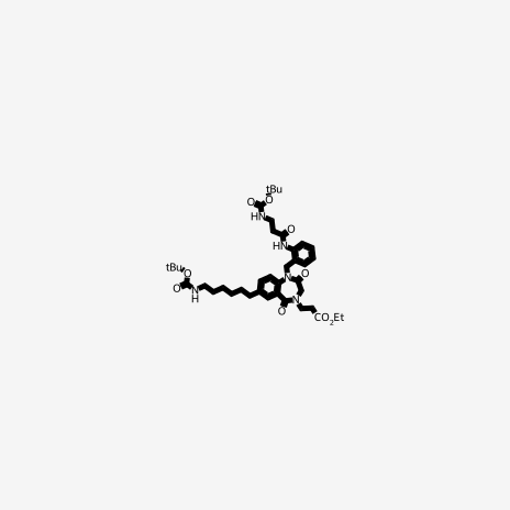 CCOC(=O)CCN1CC(=O)N(Cc2ccccc2NC(=O)CCNC(=O)OC(C)(C)C)c2ccc(CCCCCCNC(=O)OC(C)(C)C)cc2C1=O